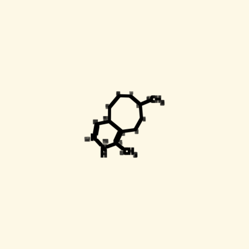 CC1=C2CCC(C)CCCC2C=NN1